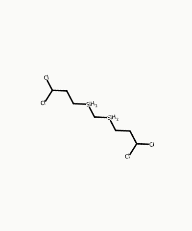 ClC(Cl)CC[SiH2]C[SiH2]CCC(Cl)Cl